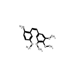 COc1ccc(N)c(/C=C\c2cc(OC)c(OC)c(OC)c2)c1